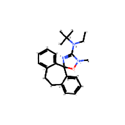 CCN(C1=NC2(ON1C)c1ccccc1CCc1ccccc12)C(C)(C)C